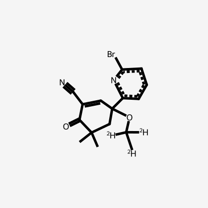 [2H]C([2H])([2H])OC1(c2cccc(Br)n2)C=C(C#N)C(=O)C(C)(C)C1